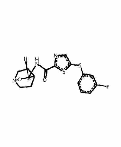 O=C(N[C@H]1CN2CCC1CC2)c1ncc(Sc2cccc(F)c2)s1